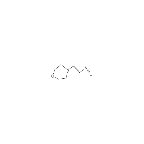 O=N/C=C/N1CCOCC1